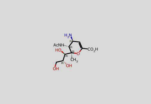 CC(=O)N[C@@H]1[C@@H](N)C=C(C(=O)O)O[C@@]1(C)[C@H](O)[C@H](O)CO